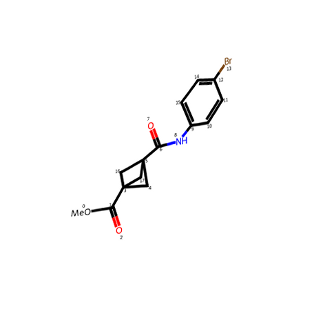 COC(=O)C12CC(C(=O)Nc3ccc(Br)cc3)(C1)C2